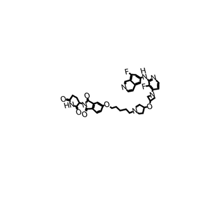 O=C1CCC(N2C(=O)c3ccc(OCCCCCN4CCC(OC5CN(c6ccnc(Nc7cc(F)c8cnccc8c7)c6F)C5)CC4)cc3C2=O)C(=O)N1